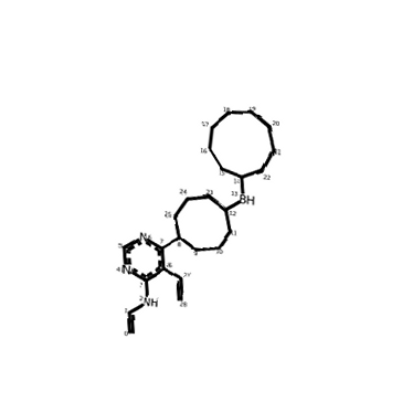 C=CNc1ncnc(C2CCCC(BC3CCCCCCCC3)CCC2)c1C=C